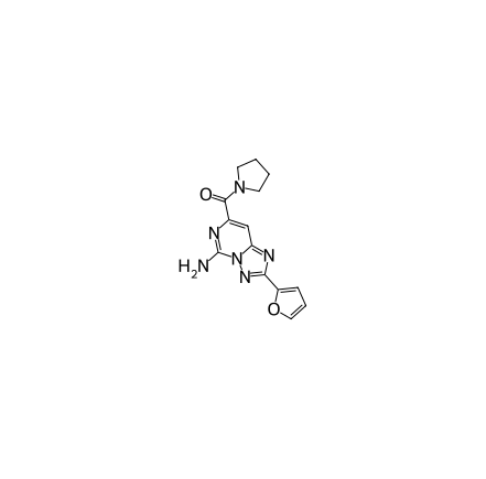 Nc1nc(C(=O)N2CCCC2)cc2nc(-c3ccco3)nn12